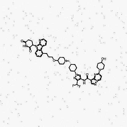 O=C1CCC(n2c3cccc(CCCOC4CCN(C[C@H]5CC[C@H](n6cc(NC(=O)c7cnn8ccc(N9CCC(O)CC9)nc78)c(C(F)F)n6)CC5)CC4)c3c3cccnc32)C(=O)N1